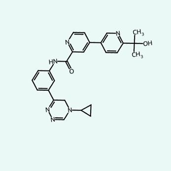 CC(C)(O)c1ccc(-c2ccnc(C(=O)Nc3cccc(C4=NN=CN(C5CC5)C4)c3)c2)cn1